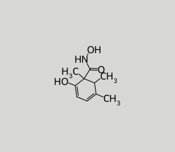 CC1=CC=C(O)C(C)(C(=O)NO)C1C